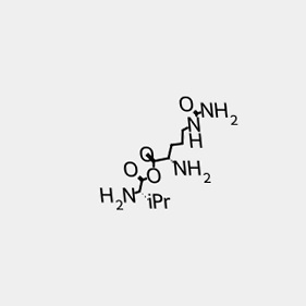 CC(C)[C@H](N)C(=O)OC(=O)[C@@H](N)CCCNC(N)=O